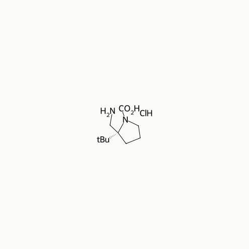 CC(C)(C)[C@@]1(CN)CCCN1C(=O)O.Cl